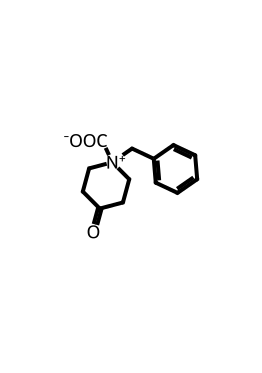 O=C1CC[N+](Cc2ccccc2)(C(=O)[O-])CC1